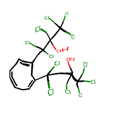 OC(Cl)(C(Cl)(Cl)Cl)C(Cl)(Cl)c1ccccc1C(Cl)(Cl)C(O)(Cl)C(Cl)(Cl)Cl